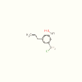 C=CCc1cccc([SiH2]Cl)c1.CCCO